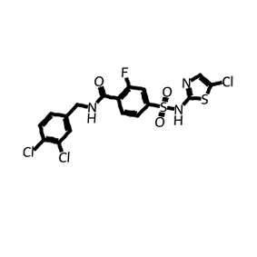 O=C(NCc1ccc(Cl)c(Cl)c1)c1ccc(S(=O)(=O)Nc2ncc(Cl)s2)cc1F